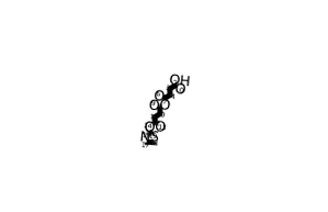 O=C(O)CCC(=O)OC(=O)CCC(=O)OC1=NCCS1